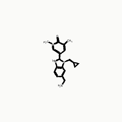 Cc1cc(C2Nc3ccc(CN)cc3N2CC2CC2)cn(C)c1=O